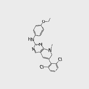 CCOc1ccc(Nc2ncc3c(n2)N(C)CC(c2c(Cl)cccc2Cl)=C3)cc1